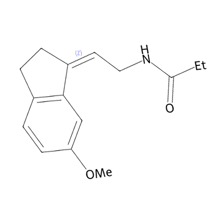 CCC(=O)NC/C=C1/CCc2ccc(OC)cc21